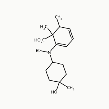 CCN(C1=CC=CC(C)C1(C)C(=O)O)C1CCC(C)(O)CC1